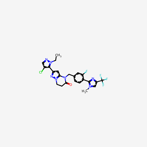 CCn1ncc(Cl)c1-c1cc2n(n1)CCC(=O)N2Cc1ccc(-c2nc(C(F)(F)F)cn2C)c(F)c1